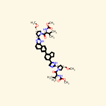 COC[C@H]1C[C@@H](c2ncc(-c3ccc(-c4ccc5c(ccc6nc([C@@H]7C[C@H](COC)CN7C(=O)[C@@H](NC(=O)OC)C(C)C)[nH]c65)c4)c4c3CCC4)[nH]2)N(C(=O)[C@@H](NC(=O)OC)C(C)C)C1